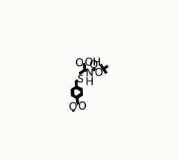 COC(=O)c1ccc(CSCC(NC(=O)OC(C)(C)C)C(=O)O)cc1